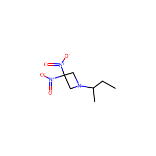 CCC(C)N1CC([N+](=O)[O-])([N+](=O)[O-])C1